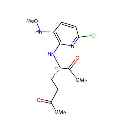 CONc1ccc(Cl)nc1N[C@@H](CCC(=O)OC)C(=O)OC